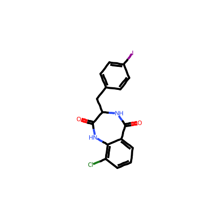 O=C1NC(Cc2ccc(I)cc2)C(=O)Nc2c(Cl)cccc21